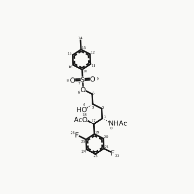 CC(=O)N[C@@H](C[C@H](O)COS(=O)(=O)c1ccc(C)cc1)[C@H](OC(C)=O)c1cc(F)ccc1F